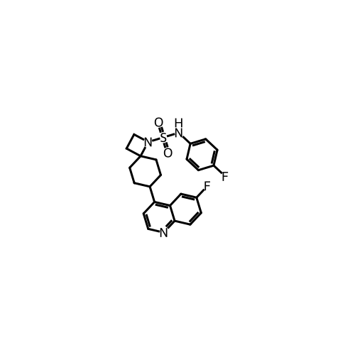 O=S(=O)(Nc1ccc(F)cc1)N1CCC12CCC(c1ccnc3ccc(F)cc13)CC2